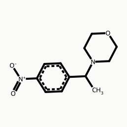 CC(c1ccc([N+](=O)[O-])cc1)N1CCOCC1